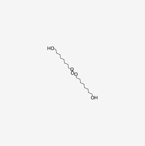 OCCCCCCCCOOOCCCCCCCCO